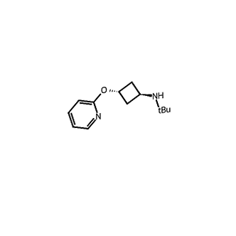 CC(C)(C)N[C@H]1C[C@H](Oc2ccccn2)C1